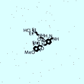 CCOC(C(=O)NCc1ccc(C(=N)N)cc1OCC(=O)NCCN(CC)CC)c1c(F)cc(OC)cc1F.Cl